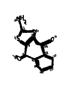 Nc1nc2c(s1)C(=O)c1ccccc1C2=O